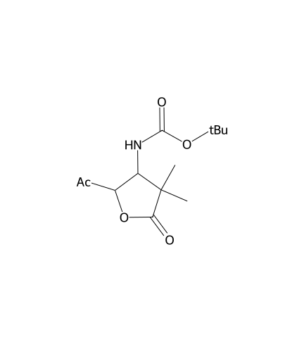 CC(=O)C1OC(=O)C(C)(C)C1NC(=O)OC(C)(C)C